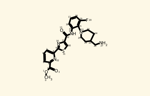 COC(=O)c1cccc(-c2nc(C(=O)Nc3cccc(F)c3N3CCC(CN)CC3)cs2)n1